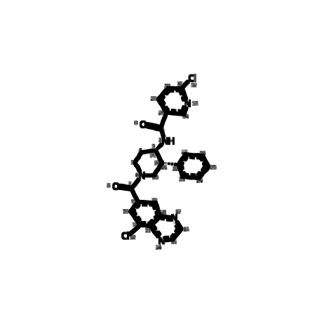 O=C(N[C@@H]1CCN(C(=O)c2cc(Cl)c3nccnc3c2)C[C@H]1c1ccccc1)c1ccc(Cl)nc1